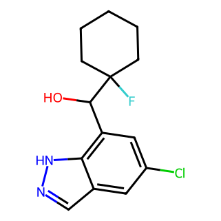 OC(c1cc(Cl)cc2cn[nH]c12)C1(F)CCCCC1